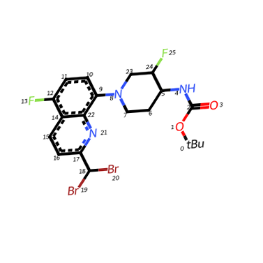 CC(C)(C)OC(=O)NC1CCN(c2ccc(F)c3ccc(C(Br)Br)nc23)CC1F